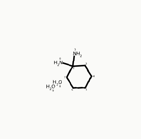 NC1(N)CCCCC1.O.O